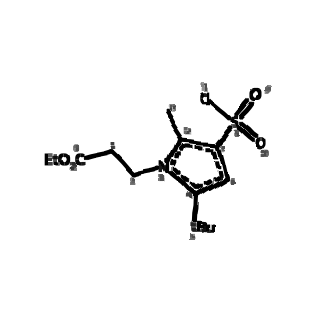 CCOC(=O)CCn1c(C(C)(C)C)cc(S(=O)(=O)Cl)c1C